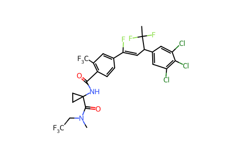 CN(CC(F)(F)F)C(=O)C1(NC(=O)c2ccc(/C(F)=C/C(c3cc(Cl)c(Cl)c(Cl)c3)C(C)(F)F)cc2C(F)(F)F)CC1